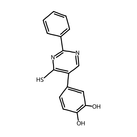 Oc1ccc(-c2cnc(-c3ccccc3)nc2S)cc1O